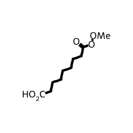 COOC(=O)CCCCCCCC(=O)O